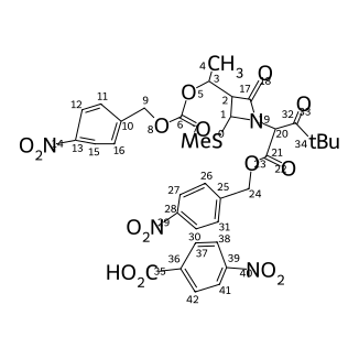 CSC1C(C(C)OC(=O)OCc2ccc([N+](=O)[O-])cc2)C(=O)N1C(C(=O)OCc1ccc([N+](=O)[O-])cc1)C(=O)C(C)(C)C.O=C(O)c1ccc([N+](=O)[O-])cc1